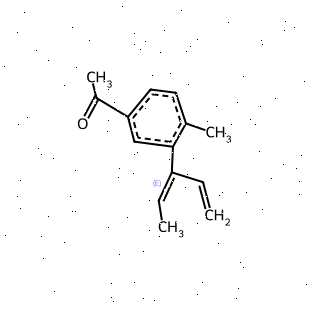 C=C/C(=C\C)c1cc(C(C)=O)ccc1C